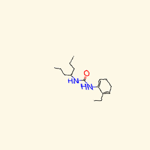 CCCC(CCC)NC(=O)NC1=CCCC=C1CC